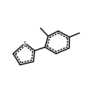 Cc1ccc(-c2c[c]cs2)c(C)c1